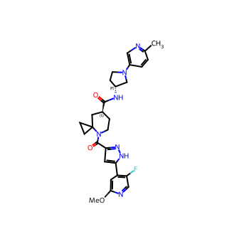 COc1cc(-c2cc(C(=O)N3CC[C@H](C(=O)N[C@@H]4CCN(c5ccc(C)nc5)C4)CC34CC4)n[nH]2)c(F)cn1